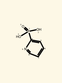 O=P(O)(O)c1ccccn1